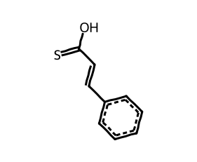 OC(=S)/C=C/c1ccccc1